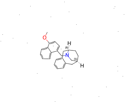 COc1ccc(CN2C[C@H]3CC[C@@H]2Cc2ccccc2C3)c2ccccc12